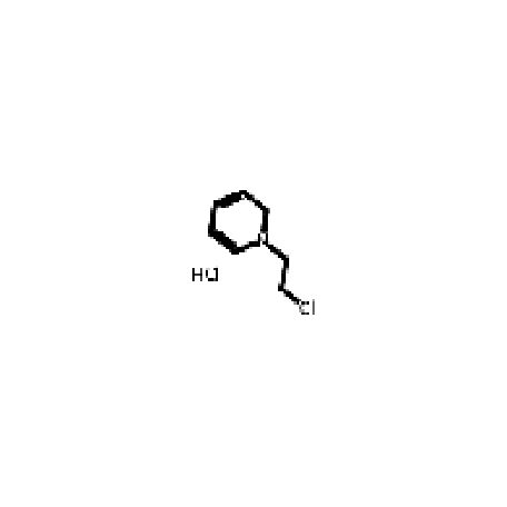 Cl.ClCCN1C=CC=CC1